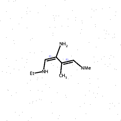 CCN/C=C(N)\C(C)=C\NC